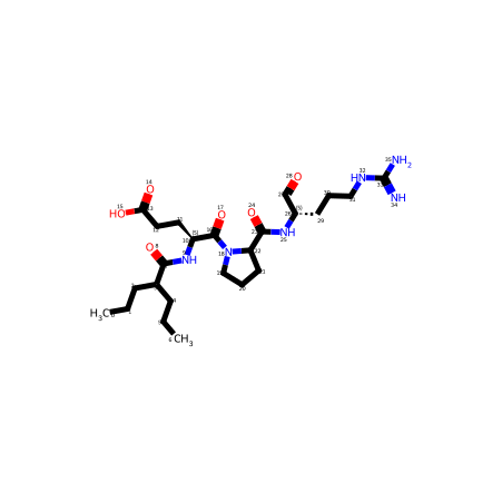 CCCC(CCC)C(=O)N[C@@H](CCC(=O)O)C(=O)N1CCCC1C(=O)N[C@H](C=O)CCCNC(=N)N